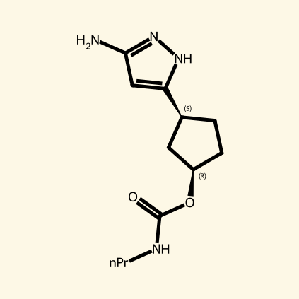 CCCNC(=O)O[C@@H]1CC[C@H](c2cc(N)n[nH]2)C1